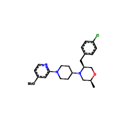 COc1ccnc(N2CCC(N3C[C@H](C)OC[C@@H]3Cc3ccc(Cl)cc3)CC2)c1